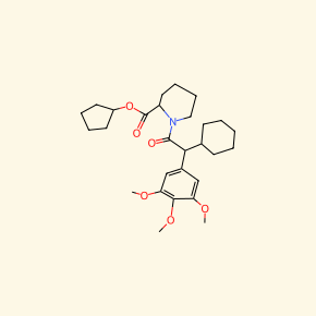 COc1cc(C(C(=O)N2CCCCC2C(=O)OC2CCCC2)C2CCCCC2)cc(OC)c1OC